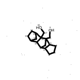 OCC12CC(C3CCCC31)C1C3CCC(C3)C12CO